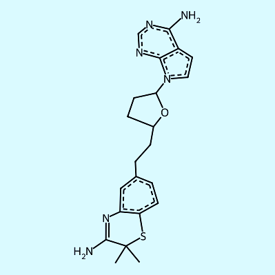 CC1(C)Sc2ccc(CCC3CCC(n4ccc5c(N)ncnc54)O3)cc2N=C1N